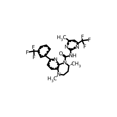 Cc1cc(C(F)(F)F)nc(NC(=O)N2c3nc(-c4cccc(C(F)(F)F)c4)ccc3N(C)CC[C@H]2C)n1